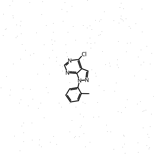 Cc1ccccc1-n1ncc2c(Cl)ncnc21